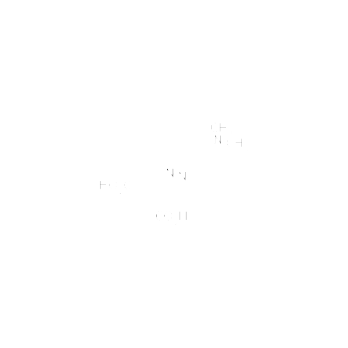 CN(C)c1ccc(N=Nc2cc(C(=O)O)cc(C(=O)O)c2)cc1